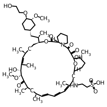 CO[C@@H]1C[C@H](C[C@@H](C)[C@@H]2CC[C@H](C)/C=C(\C)[C@@H](O)[C@@H](OC)C(=O)[C@H](C)C[C@H](C)/C=C/C=C/C=C(\C)[C@@H](NCCS(=O)(=O)O)C[C@@H]3CC[C@@H](C)[C@@](O)(O3)C(=O)C(=O)N3CCCC[C@H]3C(=O)O2)CC[C@H]1OCCO